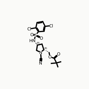 CC(C)(C)C(=O)OC[C@H]1C[C@@H](NS(=O)(=O)c2cc(Cl)ccc2Cl)CN1C#N